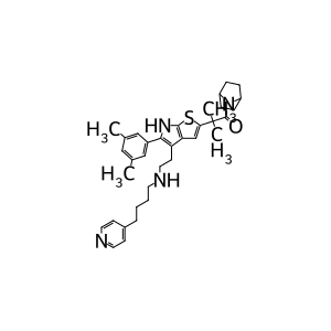 Cc1cc(C)cc(-c2[nH]c3sc(C(C)(C)C(=O)N4C5CCC4CC5)cc3c2CCNCCCCc2ccncc2)c1